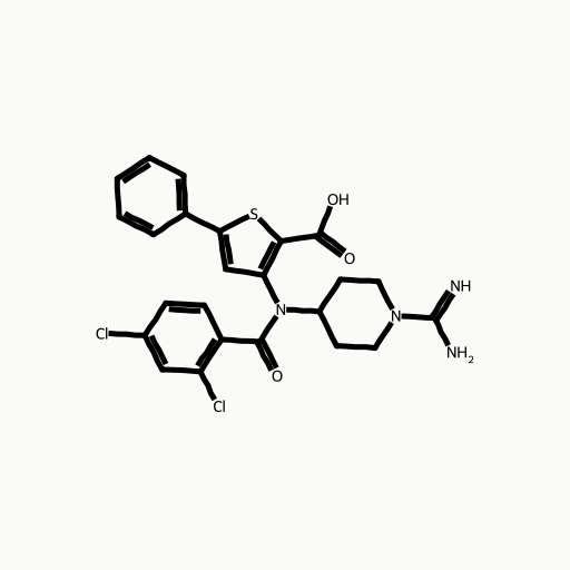 N=C(N)N1CCC(N(C(=O)c2ccc(Cl)cc2Cl)c2cc(-c3ccccc3)sc2C(=O)O)CC1